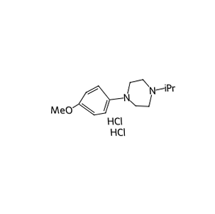 COc1ccc(N2CCN(C(C)C)CC2)cc1.Cl.Cl